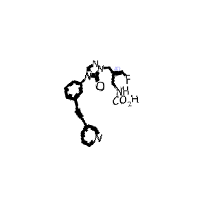 O=C(O)NC/C(=C\F)Cn1ncn(-c2cccc(C#Cc3cccnc3)c2)c1=O